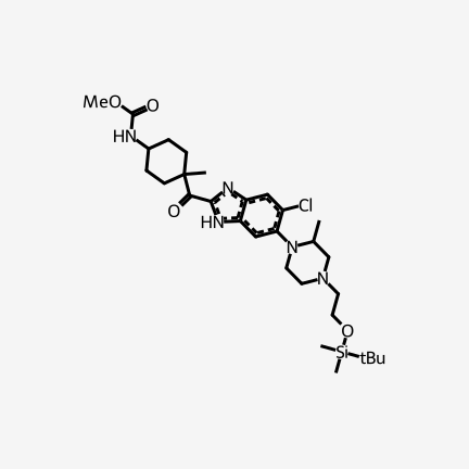 COC(=O)NC1CCC(C)(C(=O)c2nc3cc(Cl)c(N4CCN(CCO[Si](C)(C)C(C)(C)C)CC4C)cc3[nH]2)CC1